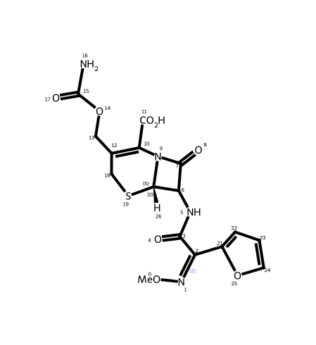 CO/N=C(\C(=O)NC1C(=O)N2C(C(=O)O)=C(COC(N)=O)CS[C@@H]12)c1ccco1